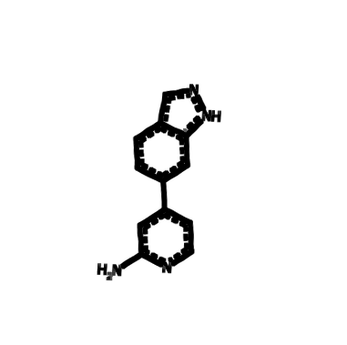 Nc1cc(-c2ccc3cn[nH]c3c2)ccn1